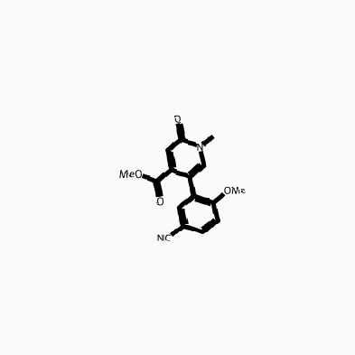 COC(=O)c1cc(=O)n(C)cc1-c1cc(C#N)ccc1OC